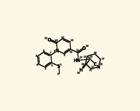 CSc1ccccc1-n1cc(C(=O)N[C@H]2CN3CCC2CC3)ccc1=O